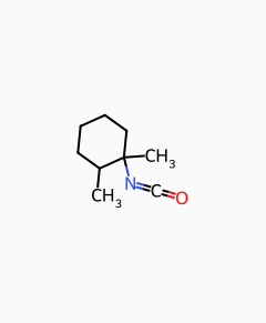 CC1CCCCC1(C)N=C=O